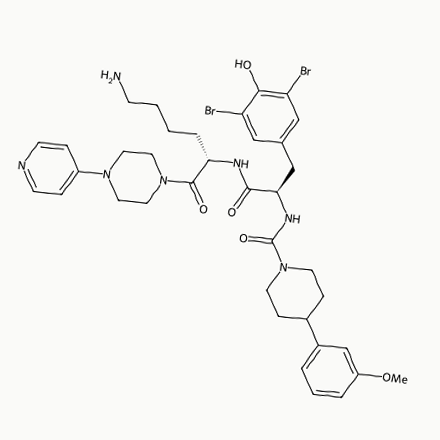 COc1cccc(C2CCN(C(=O)N[C@H](Cc3cc(Br)c(O)c(Br)c3)C(=O)N[C@@H](CCCCN)C(=O)N3CCN(c4ccncc4)CC3)CC2)c1